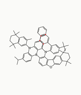 Cc1cc2c(cc1N1c3cc(C(C)C)ccc3B3c4ccc5oc6cc7c(cc6c5c4N(c4ccc(C(C)(C)C)cc4-c4ccccc4)c4cc(-c5ccccc5)cc1c43)C(C)(C)CCC7(C)C)C(C)(C)CCC2(C)C